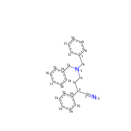 N#CC(CCN(Cc1ccccc1)Cc1ccccc1)c1ccccc1